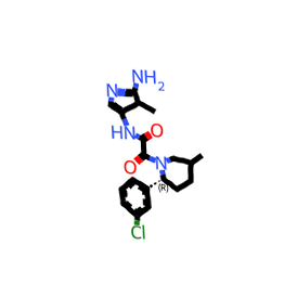 CC1CC[C@H](c2cccc(Cl)c2)N(C(=O)C(=O)NC2=CN=C(N)C2C)C1